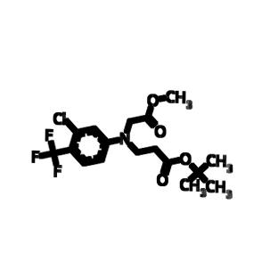 COC(=O)CN(CCC(=O)OC(C)(C)C)c1ccc(C(F)(F)F)c(Cl)c1